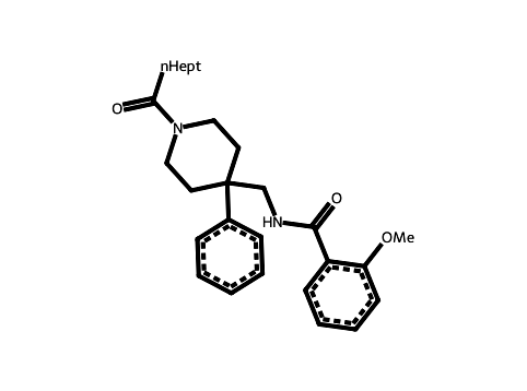 CCCCCCCC(=O)N1CCC(CNC(=O)c2ccccc2OC)(c2ccccc2)CC1